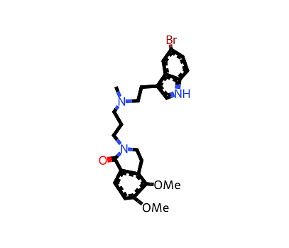 COc1ccc2c(c1OC)CCN(CCCN(C)CCc1c[nH]c3ccc(Br)cc13)C2=O